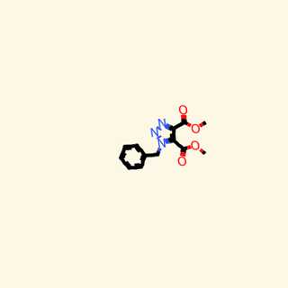 COC(=O)c1nnn(Cc2ccccc2)c1C(=O)OC